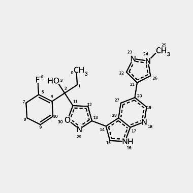 CCC(O)(C1=C(F)CCC=C1)c1cc(-c2c[nH]c3ncc(-c4cnn(C)c4)cc23)no1